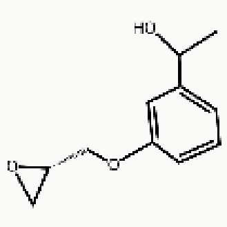 CC(O)c1cccc(OC[C@@H]2CO2)c1